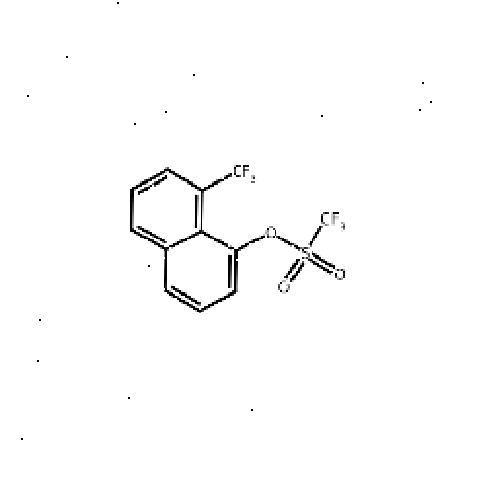 O=S(=O)(Oc1cccc2cccc(C(F)(F)F)c12)C(F)(F)F